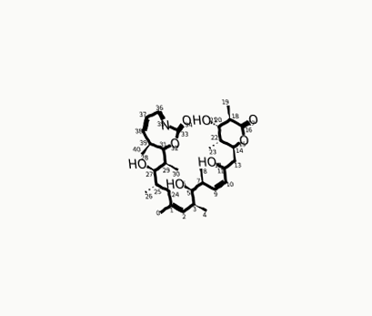 C/C(=C/[C@H](C)[C@@H](O)[C@@H](C)/C=C\C(O)C[C@@H]1OC(=O)[C@H](C)[C@@H](O)[C@H]1C)C[C@H](C)[C@@H](O)[C@H](C)C1OC(=O)/N=C/C=C\[C@@H]1C